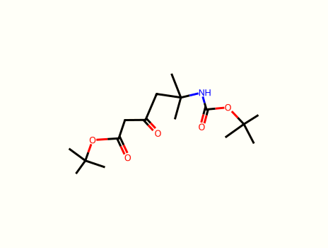 CC(C)(CC(=O)CC(=O)OC(C)(C)C)NC(=O)OC(C)(C)C